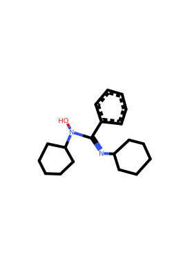 ON(/C(=N/C1CCCCC1)c1ccccc1)C1CCCCC1